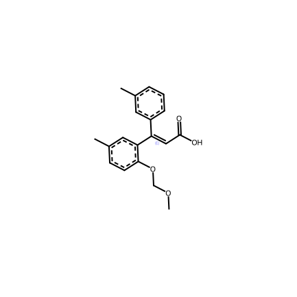 COCOc1ccc(C)cc1/C(=C/C(=O)O)c1cccc(C)c1